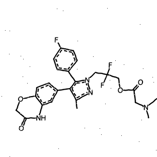 Cc1nn(CC(F)(F)COC(=O)CN(C)C)c(-c2ccc(F)cc2)c1-c1ccc2c(c1)NC(=O)CO2